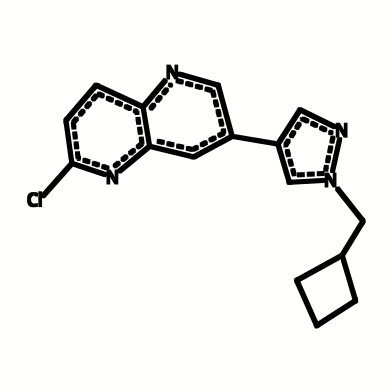 Clc1ccc2ncc(-c3cnn(CC4CCC4)c3)cc2n1